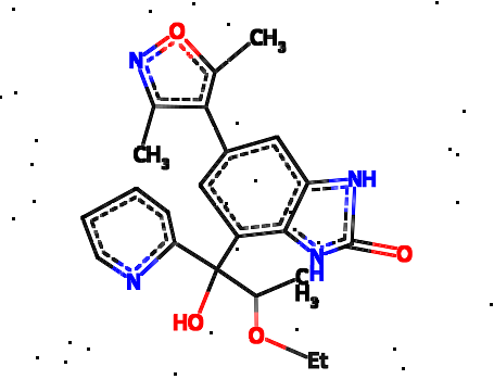 CCOC(C)C(O)(c1ccccn1)c1cc(-c2c(C)noc2C)cc2[nH]c(=O)[nH]c12